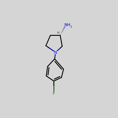 N[C@H]1CCN(c2ccc(F)cc2)C1